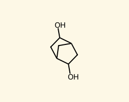 OC1CC2CC1CC2O